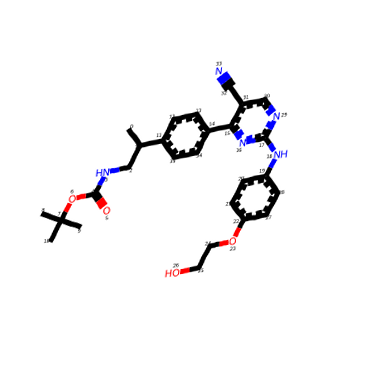 CC(CNC(=O)OC(C)(C)C)c1ccc(-c2nc(Nc3ccc(OCCO)cc3)ncc2C#N)cc1